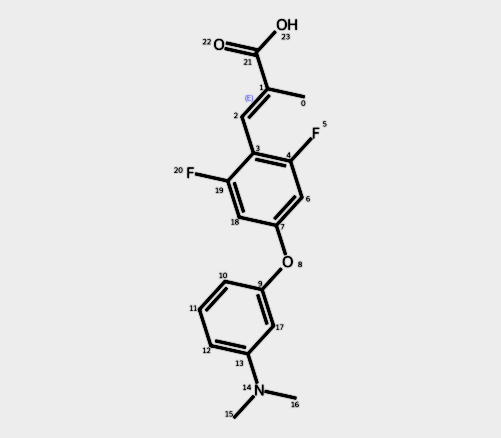 C/C(=C\c1c(F)cc(Oc2cccc(N(C)C)c2)cc1F)C(=O)O